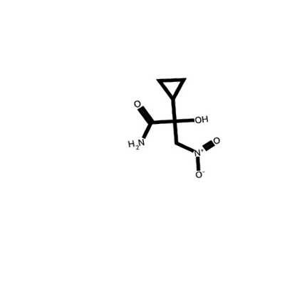 NC(=O)C(O)(C[N+](=O)[O-])C1CC1